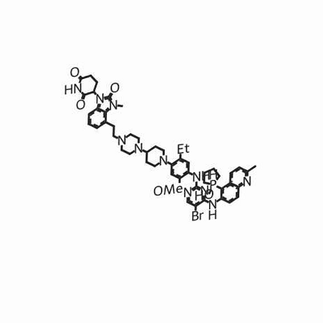 CCc1cc(Nc2ncc(Br)c(Nc3ccc4nc(C)ccc4c3[PH]3(O)CCCC3)n2)c(OC)cc1N1CCC(N2CCN(CCc3cccc4c3n(C)c(=O)n4C3CCC(=O)NC3=O)CC2)CC1